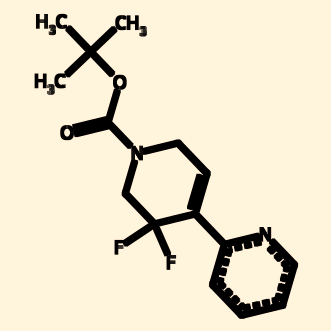 CC(C)(C)OC(=O)N1CC=C(c2ccccn2)C(F)(F)C1